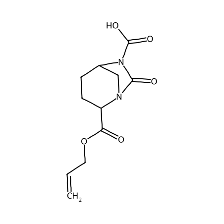 C=CCOC(=O)C1CCC2CN1C(=O)N2C(=O)O